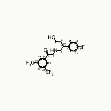 O=C(CNC[C@@H](CCO)c1ccc(F)cc1)c1cc(C(F)(F)F)cc(C(F)(F)F)c1